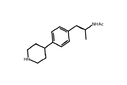 CC(=O)NC(C)Cc1ccc(C2CCNCC2)cc1